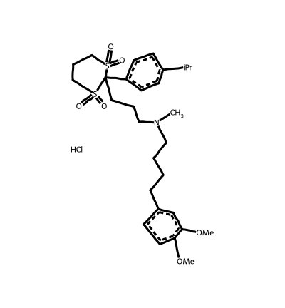 COc1ccc(CCCCN(C)CCCC2(c3ccc(C(C)C)cc3)S(=O)(=O)CCCS2(=O)=O)cc1OC.Cl